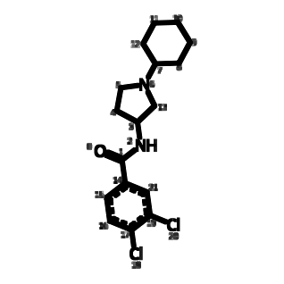 O=C(NC1CCN(C2CCCCC2)C1)c1ccc(Cl)c(Cl)c1